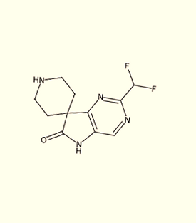 O=C1Nc2cnc(C(F)F)nc2C12CCNCC2